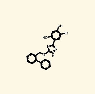 CCc1cc(-c2n[nH]c(SCc3ccccc3-c3ccccc3)n2)c(O)cc1O